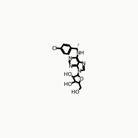 C[C@H](Nc1ncnc2c1ncn2C1OC(CO)C(O)C1O)c1ccc(Cl)cc1